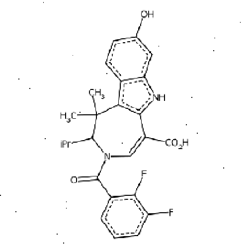 CC(C)C1N(C(=O)c2cccc(F)c2F)C=C(C(=O)O)c2[nH]c3cc(O)ccc3c2C1(C)C